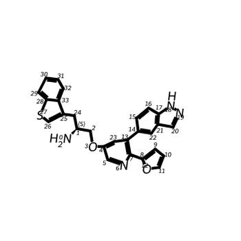 N[C@H](COc1cnc(-c2ccco2)c(-c2ccc3[nH]ncc3c2)c1)Cc1csc2ccccc12